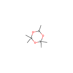 C[Si]1O[Si](C)(C)O[Si](C)(C)O1